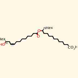 CCCCCCC(CCCCCCCCCCC(=O)O)OC(=O)CCCCCCC/C=C\C[C@H](O)CCCCCC